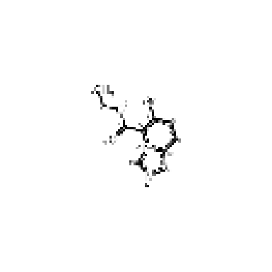 CCOC(=O)c1c(Br)ccc2cncn12